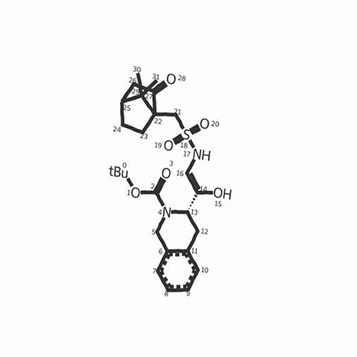 CC(C)(C)OC(=O)N1Cc2ccccc2C[C@H]1/C(O)=C/NS(=O)(=O)CC12CCC(CC1=O)C2(C)C